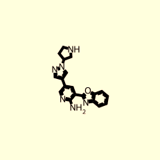 Nc1ncc(-c2cnn(C3CCNC3)c2)cc1-c1nc2ccccc2o1